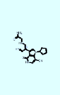 N#Cc1c[nH]c(=O)c2c(/C(C=N)=C/NCC(N)=O)cn(C3CCCC3)c12